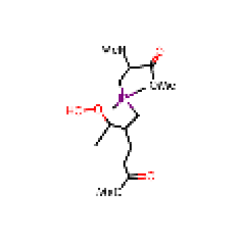 CNC(C[PH](C)(C)CC(CCC(=O)OC)C(C)OO)C(=O)OC